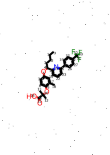 CCCCC(Oc1ccc(OC(C)(C)C(=O)O)c(C)c1)c1cccc(-c2ccc(C(F)(F)F)cc2)n1